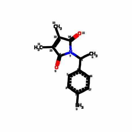 Bc1ccc(C(C)N2C(=O)C(C)=C(C)C2=O)cc1